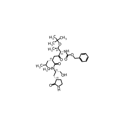 CC(C)C[C@H](CC(=O)[C@@H](NC(=O)OCc1ccccc1)[C@@H](C)OC(C)(C)C)C(=O)N[C@H](CO)C[C@@H]1CCNC1=O